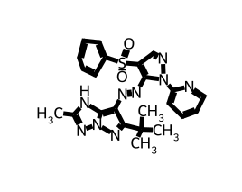 Cc1nn2nc(C(C)(C)C)c(/N=N/c3c(S(=O)(=O)c4ccccc4)cnn3-c3ccccn3)c2[nH]1